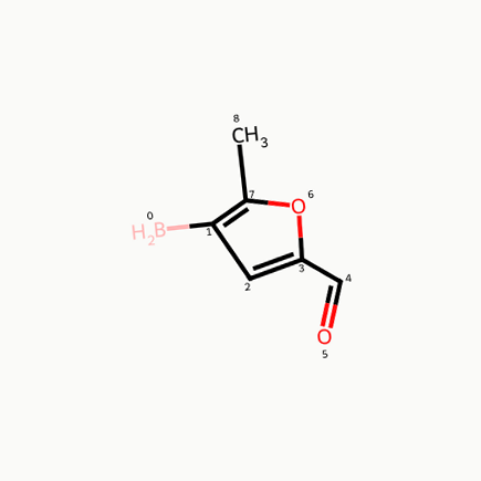 Bc1cc(C=O)oc1C